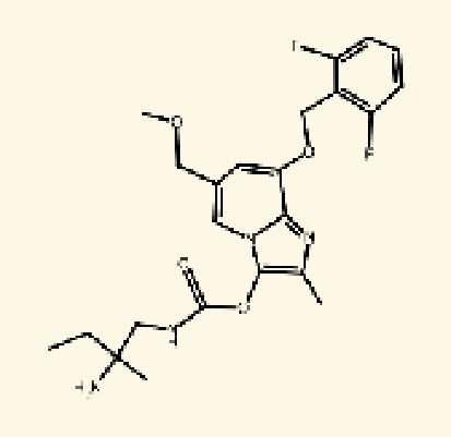 CCC(C)(N)CNC(=O)Oc1c(C)nc2c(OCc3c(F)cccc3F)cc(COC)cn12